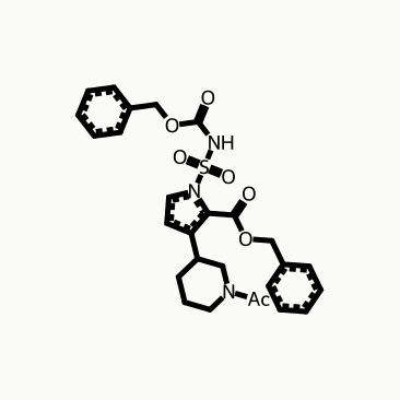 CC(=O)N1CCCC(c2ccn(S(=O)(=O)NC(=O)OCc3ccccc3)c2C(=O)OCc2ccccc2)C1